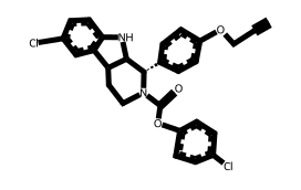 C#CCOc1ccc([C@H]2C3Nc4ccc(Cl)cc4C3CCN2C(=O)Oc2ccc(Cl)cc2)cc1